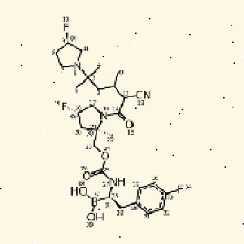 CC(CC(C)(C)N1CC[C@@H](F)C1)C(C#N)C(=O)N1C[C@@H](F)C[C@]1(C)COC(=O)N[C@@H](Cc1ccc(F)cc1)B(O)O